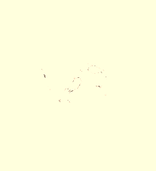 Cc1cc(Nc2cc(NC(=O)O)ncn2)c(=O)n2c1C(=O)NC21CCN(CC#N)CC1